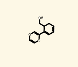 OCC1CC=CC=C1C1=COC=CO1